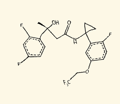 C[C@@](O)(CC(=O)NC1(c2cc(OCC(F)(F)F)ccc2F)CC1)c1ccc(F)cc1F